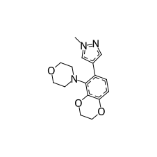 Cn1cc(-c2ccc3c(c2N2CCOCC2)OCCO3)cn1